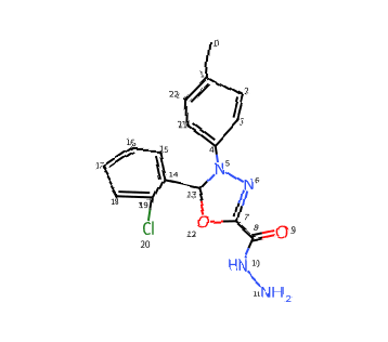 Cc1ccc(N2N=C(C(=O)NN)OC2c2ccccc2Cl)cc1